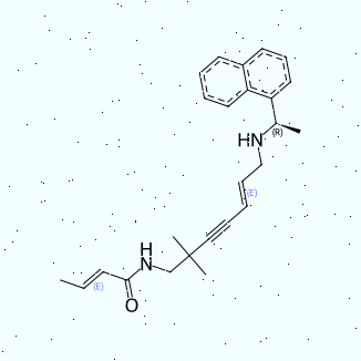 C/C=C/C(=O)NCC(C)(C)C#C/C=C/CN[C@H](C)c1cccc2ccccc12